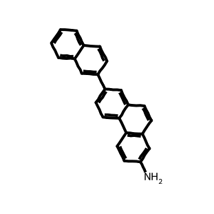 Nc1ccc2c(ccc3cc(-c4ccc5ccccc5c4)ccc32)c1